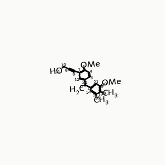 C=C(c1ccc(OC)c(C#CCO)c1)c1cc(C)c(C)c(OC)c1